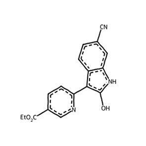 CCOC(=O)c1ccc(-c2c(O)[nH]c3cc(C#N)ccc23)nc1